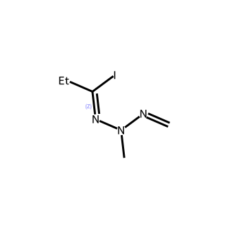 C=NN(C)/N=C(\I)CC